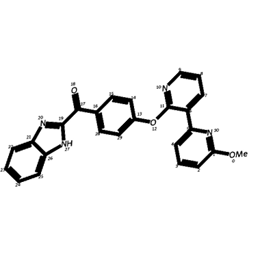 COc1cccc(-c2cccnc2Oc2ccc(C(=O)c3nc4ccccc4[nH]3)cc2)n1